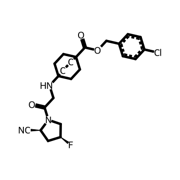 N#C[C@@H]1C[C@H](F)CN1C(=O)CNC12CCC(C(=O)OCc3ccc(Cl)cc3)(CC1)CC2